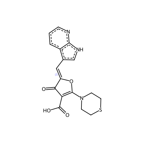 O=C(O)C1=C(N2CCSCC2)O/C(=C\c2c[nH]c3ncccc23)C1=O